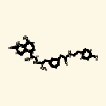 C[C@H](Cc1cccc(CC(=O)NCCc2ccc(Cl)cc2)c1)NC[C@H](O)c1ccc(O)c2[nH]c(=O)ccc12